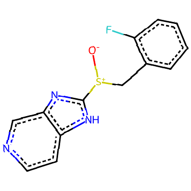 [O-][S+](Cc1ccccc1F)c1nc2cnccc2[nH]1